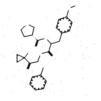 COc1ccc(CC(NC(=O)[C@H]2CCOC2)C(=O)N[C@H](Cc2ccccc2)C(=O)C2(C)CC2)cc1